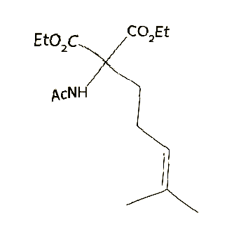 CCOC(=O)C(CCC=C(C)C)(NC(C)=O)C(=O)OCC